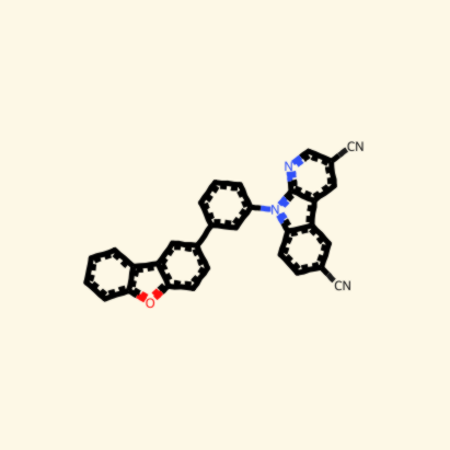 N#Cc1ccc2c(c1)c1cc(C#N)cnc1n2-c1cccc(-c2ccc3oc4ccccc4c3c2)c1